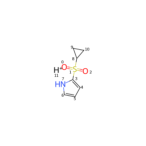 O=S(=O)(c1ccc[nH]1)C1CC1.[H+]